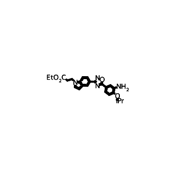 CCOC(=O)CCn1ccc2cc(-c3noc(-c4ccc(OC(C)C)c(N)c4)n3)ccc21